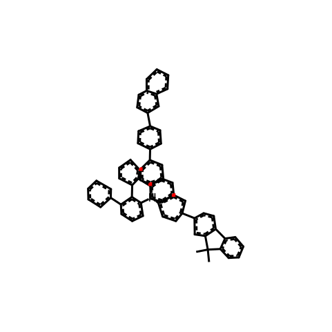 CC1(C)c2ccccc2-c2ccc(-c3ccc(N(c4ccc(-c5ccc(-c6ccc7ccccc7c6)cc5)cc4)c4cccc(-c5ccccc5)c4-c4ccccc4-c4ccccc4)cc3)cc21